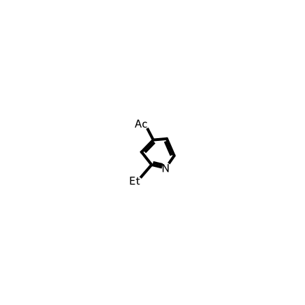 CCc1cc(C(C)=O)ccn1